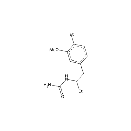 CCc1ccc(CC(CC)NC(N)=O)cc1OC